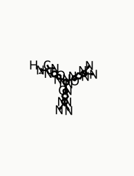 C=C(C#N)/C(C#N)=N\c1ccc2oc(-c3nc(-c4nc5cc6nc(C#N)c(C#N)nc6cc5o4)nc(-c4nc5cc6nc(C#N)c(C#N)nc6cc5o4)n3)nc2c1